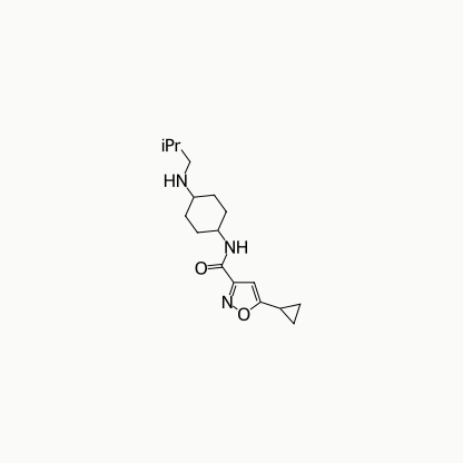 CC(C)CNC1CCC(NC(=O)c2cc(C3CC3)on2)CC1